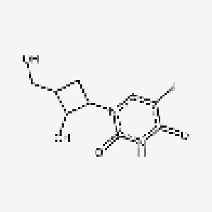 O=c1[nH]c(=O)n(C2CC(CO)C2O)cc1I